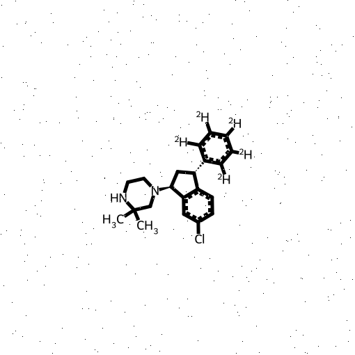 [2H]c1c([2H])c([2H])c([C@H]2C[C@H](N3CCNC(C)(C)C3)c3cc(Cl)ccc32)c([2H])c1[2H]